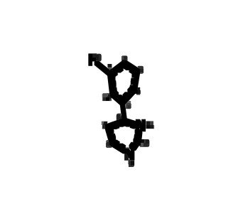 Fc1cccc(-c2ccn[c]n2)c1